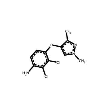 Cn1cc(Oc2ccc(N)c(Cl)c2Cl)c(C(F)(F)F)n1